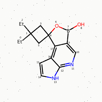 CCC1(CC)CC2(C1)OB(O)c1cnc3[nH]ccc3c12